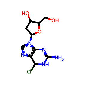 NC1=Nc2c(ncn2C2CC(O)C(CO)O2)C(Cl)N1